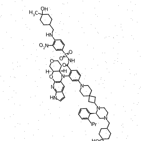 CC(C)c1ccccc1[C@@H]1CN(CC2CCC(C)(O)CC2)CCN1C1CC2(CCN(c3ccc(C(=O)NS(=O)(=O)c4ccc(NCC5CCC(C)(O)CC5)c([N+](=O)[O-])c4)c(N4c5cc6cc[nH]c6nc5O[C@H]5COCC[C@@H]54)c3)CC2)C1